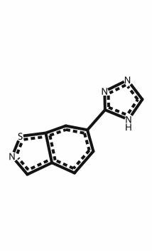 c1nnc(-c2ccc3cnsc3c2)[nH]1